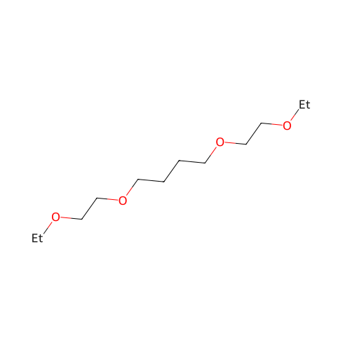 CCOCCOCCCCOCCOCC